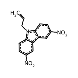 C=CCn1c2ccc([N+](=O)[O-])cc2c2cc([N+](=O)[O-])ccc21